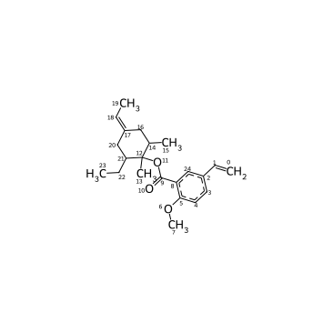 C=Cc1ccc(OC)c(C(=O)OC2(C)C(C)CC(=CC)CC2CC)c1